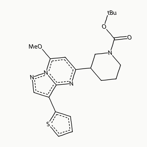 COc1cc(C2CCCN(C(=O)OC(C)(C)C)C2)nc2c(-c3cccs3)cnn12